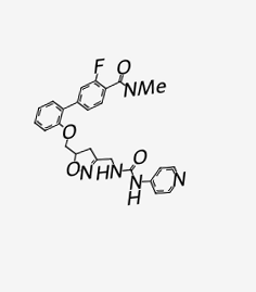 CNC(=O)c1ccc(-c2ccccc2OCC2CC(CNC(=O)Nc3ccncc3)=NO2)cc1F